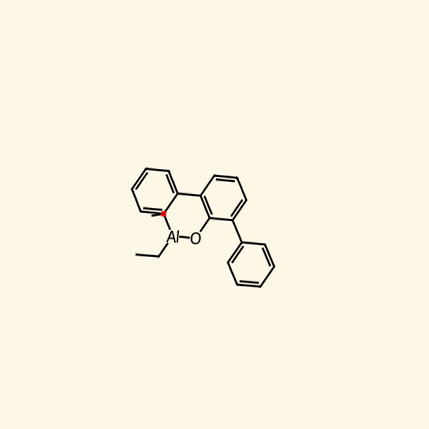 C[CH2][Al]([CH2]C)[O]c1c(-c2ccccc2)cccc1-c1ccccc1